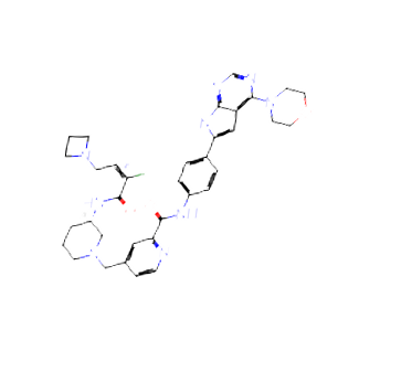 O=C(N[C@@H]1CCCN(Cc2ccnc(C(=O)Nc3ccc(-c4cc5c(N6CCOCC6)ncnc5[nH]4)cc3)c2)C1)/C(F)=C\CN1CCC1